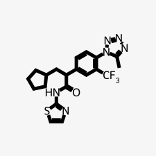 Cc1nnnn1-c1ccc(C(CC2CCCC2)C(=O)Nc2nccs2)cc1C(F)(F)F